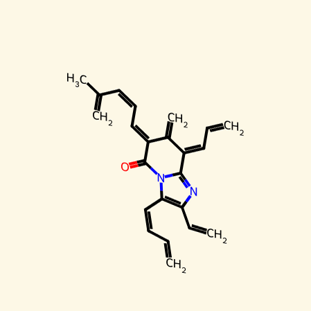 C=C/C=C\c1c(C=C)nc2/c(=C/C=C)c(=C)/c(=C\C=C/C(=C)C)c(=O)n12